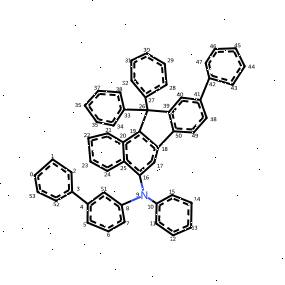 c1ccc(-c2cccc(N(c3ccccc3)c3cc4c(c5ccccc35)C(c3ccccc3)(c3ccccc3)c3cc(-c5ccccc5)ccc3-4)c2)cc1